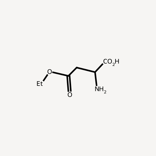 CCOC(=O)CC(N)C(=O)O